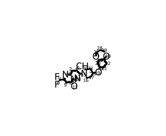 Cc1cc2nc(C(F)F)cc(=O)n2nc1N1CCC(Oc2ccc3c(c2)OCCCO3)CC1